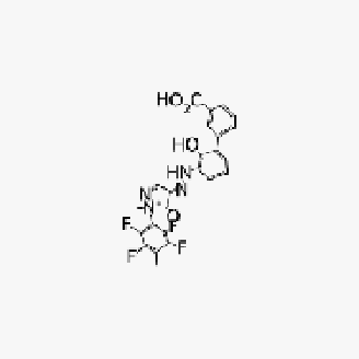 Cc1c(F)c(F)c([N+]2(C)N=CC(=NNc3cccc(-c4cccc(C(=O)O)c4)c3O)C2=O)c(F)c1F